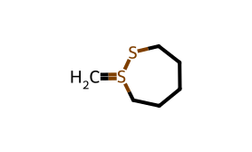 C=S1CCCCCS1